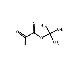 CC(C)(C)OC(=O)C(=O)I